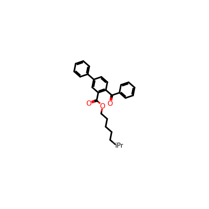 CC(C)CCCCCOC(=O)c1cc(-c2ccccc2)ccc1C(=O)c1ccccc1